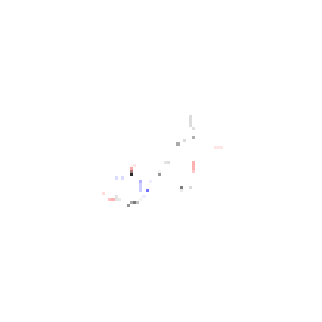 CC[C@@H](O)C[C@@H](O)[C@@H](O)C(OC)n1ccc(=O)[nH]c1=O